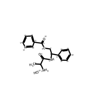 CC(N)C(=O)NC(COC(=O)c1cccnc1)c1ccccc1.Cl